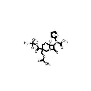 CC(=O)OCC1(C(=O)OC(C)(C)C)CS[C@@H]2C(N(C(C)=O)c3cccs3)C(=O)N2C1